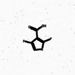 O=C(O)c1c(F)csc1F